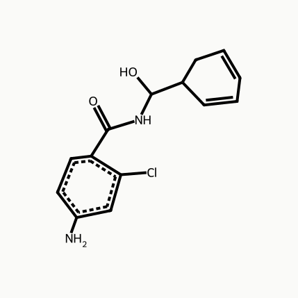 Nc1ccc(C(=O)NC(O)C2C=CC=CC2)c(Cl)c1